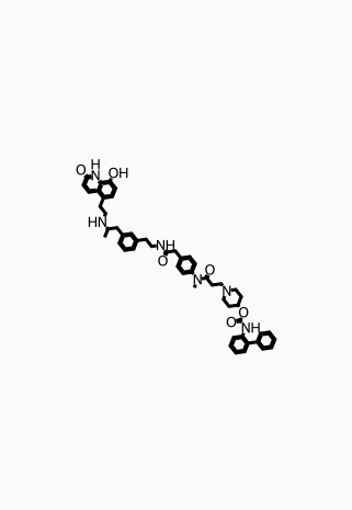 CC(Cc1cccc(CCNC(=O)Cc2ccc(N(C)C(=O)CCN3CCC(OC(=O)Nc4ccccc4-c4ccccc4)CC3)cc2)c1)NCCc1ccc(O)c2[nH]c(=O)ccc12